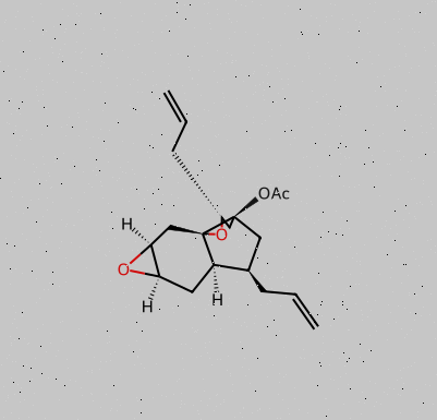 C=CC[C@@H]1C[C@@]2(OC(C)=O)C[C@@H](CC=C)[C@H]3C[C@H]4O[C@H]4C[C@@]32O1